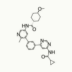 CO[C@H]1CC[C@H](C(=O)Nc2cnc(C)c(-c3cccc(-c4cc(NC(=O)C5CC5)ncn4)c3)c2)CC1